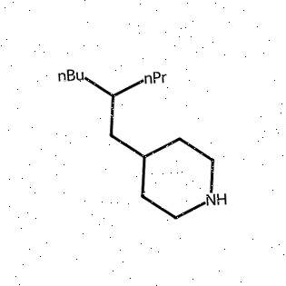 CCCCC(CCC)CC1CCNCC1